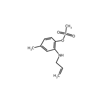 C=CCNc1cc(C)ccc1OS(C)(=O)=O